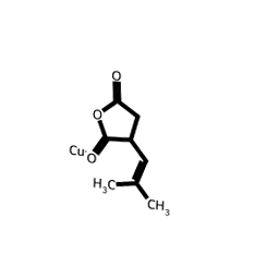 CC(C)=CC1CC(=O)OC1=O.[Cu]